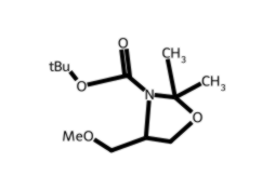 COCC1COC(C)(C)N1C(=O)OC(C)(C)C